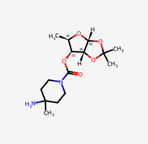 C[C@H]1O[C@@H]2OC(C)(C)O[C@@H]2[C@H]1OC(=O)N1CCC(C)(N)CC1